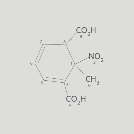 CC1([N+](=O)[O-])C(C(=O)O)=CC=CC1C(=O)O